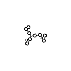 CC1(c2cccc(-c3ccc(N(c4ccc(-c5cccc6ccccc56)cc4)c4ccc5c(c4)oc4ccccc45)cc3)c2)c2ccccc2-c2ccccc21